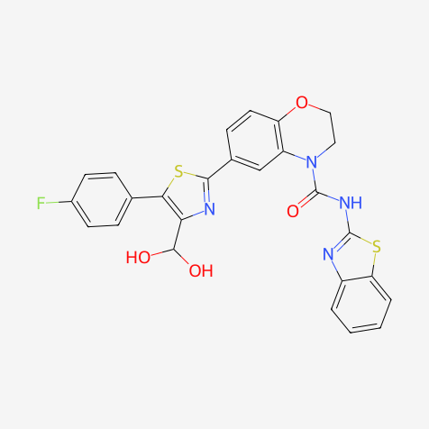 O=C(Nc1nc2ccccc2s1)N1CCOc2ccc(-c3nc(C(O)O)c(-c4ccc(F)cc4)s3)cc21